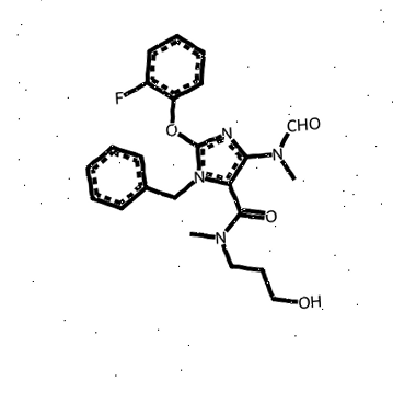 CN(CCCO)C(=O)c1c(N(C)C=O)nc(Oc2ccccc2F)n1Cc1ccccc1